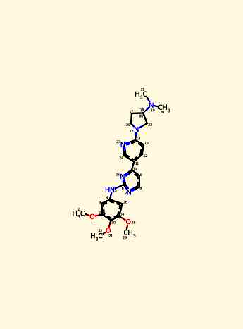 COc1cc(Nc2nccc(-c3ccc(N4CC[C@@H](N(C)C)C4)nc3)n2)cc(OC)c1OC